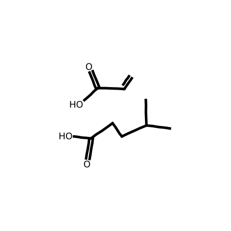 C=CC(=O)O.CC(C)CCC(=O)O